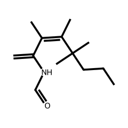 C=C(NC=O)/C(C)=C(/C)C(C)(C)CCC